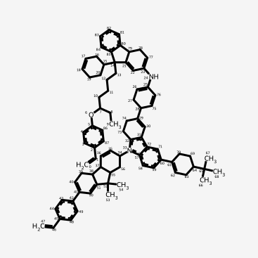 C=Cc1ccc(OC(CC)CCCCC2(C3CC=CCC3)C3=CC(NC4=CCC(C5=Cc6c(n(C7C=CC8C9CC=C(c%10ccc(C=C)cc%10)C=C9C(C)(C)C8C7)c7ccc(C8=CCC(C(C)(C)C)CC8)cc67)CC5)C=C4)=CCC3c3ccccc32)cc1